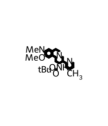 CNc1cc2c(cc1OC)C1CC(NC(=O)OC(C)(C)C)C(c3cc(C)ccn3)CN1CC2